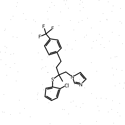 CC(CCc1ccc(C(F)(F)F)cc1)(Cn1ccnc1)Sc1ccccc1Cl